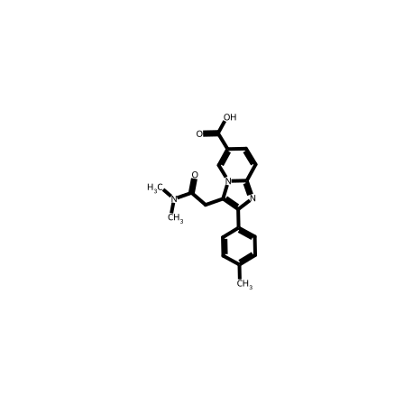 Cc1ccc(-c2nc3ccc(C(=O)O)cn3c2CC(=O)N(C)C)cc1